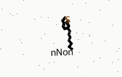 CCCCCCCCCCCCCCCCc1ccc2ccsc2c1